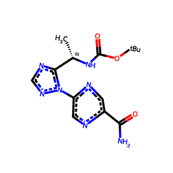 C[C@H](NC(=O)OC(C)(C)C)c1ncnn1-c1cnc(C(N)=O)cn1